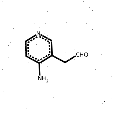 Nc1ccncc1CC=O